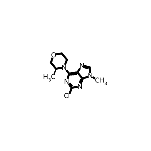 C[C@H]1COCCN1c1nc(Cl)nc2c1ncn2C